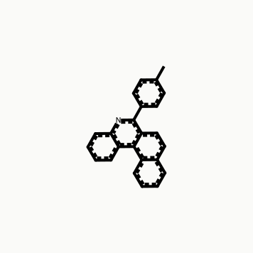 Cc1ccc(-c2nc3ccccc3c3c2ccc2ccccc23)cc1